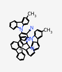 Cc1ccc2c(c1)c1ccccc1n2-c1cc(-c2cccc3c2[Si]2(c4ccccc4-3)c3cccnc3-c3ncccc32)cc(-n2c3ccccc3c3cc(C)ccc32)c1C#N